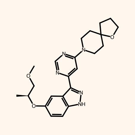 COC[C@H](C)Oc1ccc2[nH]nc(-c3cc(N4CCC5(CCCO5)CC4)ncn3)c2c1